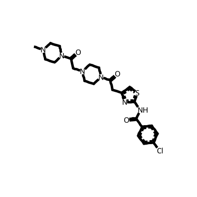 CN1CCN(C(=O)CN2CCN(C(=O)Cc3csc(NC(=O)c4ccc(Cl)cc4)n3)CC2)CC1